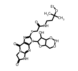 CCOC(C)(C)CCNC(=O)CSc1nc2c(=O)n3c(nc2n1C1OC2COPOC2C1O)NC(=O)C3